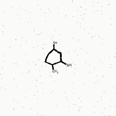 CC1CCC(S)CC1S